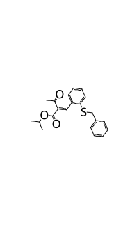 CC(=O)/C(=C\c1ccccc1SCc1ccccc1)C(=O)OC(C)C